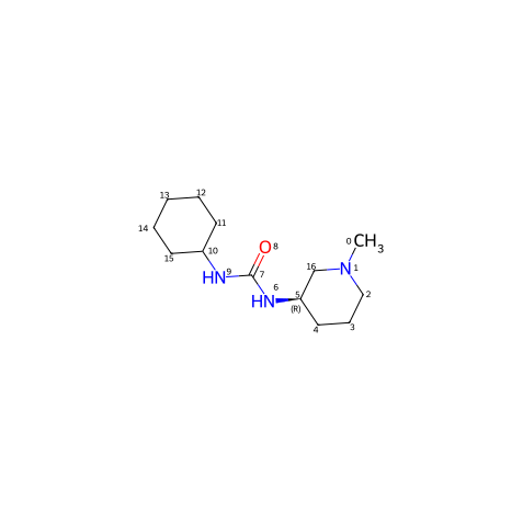 CN1CCC[C@@H](NC(=O)NC2CCCCC2)C1